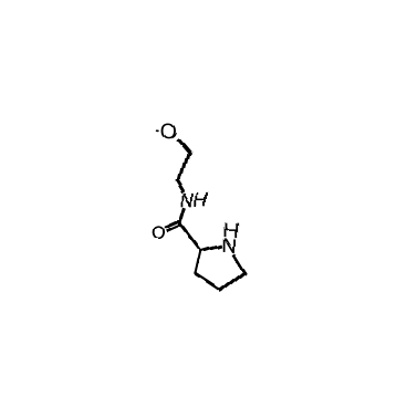 [O]CCNC(=O)C1CCCN1